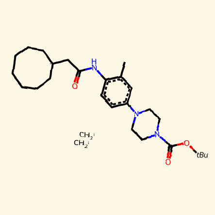 Cc1cc(N2CCN(C(=O)OC(C)(C)C)CC2)ccc1NC(=O)C[C]1CCCCCCC1.[CH2].[CH2]